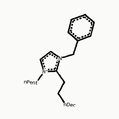 CCCCCCCCCCCCc1n(Cc2ccccc2)cc[n+]1CCCCC